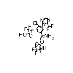 C[C@H](NC(=O)OC[C@@H](N)c1ccc(Cl)c(-n2ncnc2C(F)F)c1)C(F)(F)F.O=C(O)C(F)(F)F